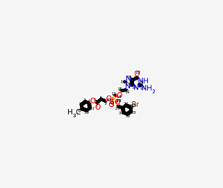 Cc1ccc(OC(=O)CCOP(=O)(COCCn2cnc3c(=O)[nH]c(N)nc32)OCc2cccc(Br)c2)cc1